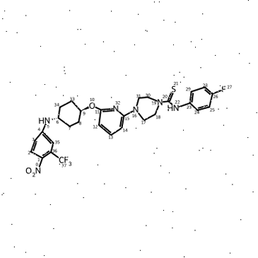 O=[N+]([O-])c1ccc(N[C@H]2CC[C@H](Oc3cccc(N4CCN(C(=S)Nc5ccc(F)cc5)CC4)n3)CC2)cc1C(F)(F)F